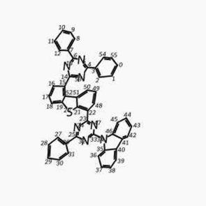 c1ccc(-c2nc(-c3ccccc3)nc(-c3cccc4sc5c(-c6nc(-c7ccccc7)nc(-n7c8ccccc8c8ccccc87)n6)cccc5c34)n2)cc1